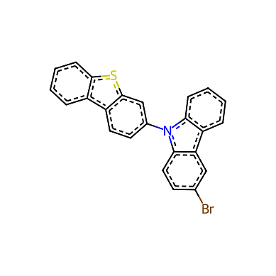 Brc1ccc2c(c1)c1ccccc1n2-c1ccc2c(c1)sc1ccccc12